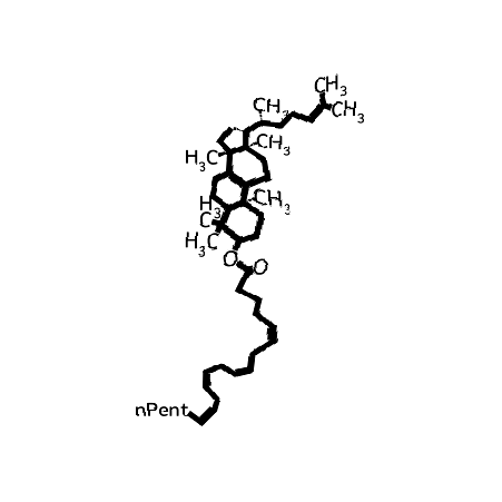 CCCCC/C=C\C/C=C\C/C=C\C/C=C\CCCC(=O)OC1CC[C@]2(C)C3=C(CCC2C1(C)C)[C@]1(C)CC[C@H]([C@H](C)CCC=C(C)C)[C@@]1(C)CC3